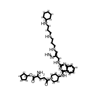 N=N/C(=C\NCCCNCCCNC1CCCCC1)CNc1nc(NC2CCN(C(=O)CCC(N)C(=O)OC3CCCC3)CC2)c2ccccc2n1